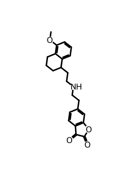 COc1cccc2c1CCCC2CCNCCc1ccc2c(c1)OC(=O)C2=O